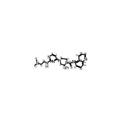 CC(C)C1CN(c2ccnc(NCCN(C)C)n2)CCN1C(=S)Nc1cccc2ncccc12